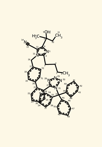 CCCCc1nc(C(C)(O)CC)c(C#N)n1Cc1ccc(-c2ccccc2-c2nnnn2C(c2ccccc2)(c2ccccc2)c2ccccc2)cc1